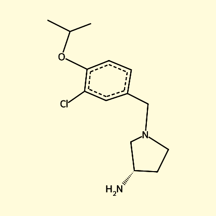 CC(C)Oc1ccc(CN2CC[C@H](N)C2)cc1Cl